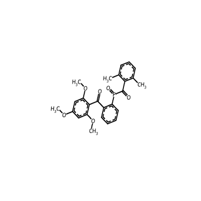 COc1cc(OC)c(C(=O)c2ccccc2[P](=O)C(=O)c2c(C)cccc2C)c(OC)c1